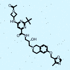 CC(=O)N1CC(Nc2cc(C(=O)NC[C@H](O)CN3CCc4cc(OCc5ocnc5C)ccc4C3)nc(C(C)(C)C)n2)C1